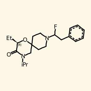 CC[C@H]1OC2(CCN(C(F)Cc3ccccc3)CC2)CN(C(C)C)C1=O